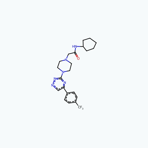 O=C(CN1CCN(c2nncc(-c3ccc(C(F)(F)F)cc3)n2)CC1)NC1CCCCC1